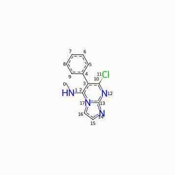 CNc1c(-c2ccccc2)c(Cl)nc2nccn12